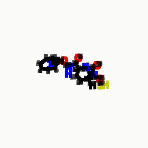 CN1C2CCC1CC(ONC(=O)[C@@H]1CC[C@@H]3CN1C(=O)N3OS)C2